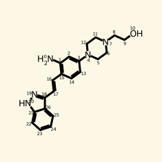 Nc1cc(N2CCN(CCO)CC2)ccc1/C=C/c1n[nH]c2ccccc12